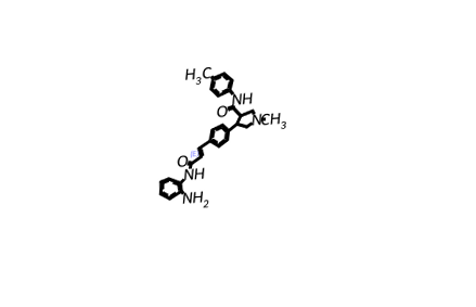 Cc1ccc(NC(=O)C2CN(C)CC2c2ccc(/C=C/C(=O)Nc3ccccc3N)cc2)cc1